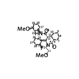 COCCN1C(=O)c2ccccc2C(C(=O)Nc2cccc(OC)c2)C1c1ccccc1F